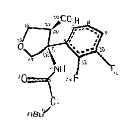 CCCCOC(=O)N[C@@]1(c2cccc(F)c2F)COC[C@H]1C(=O)O